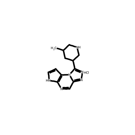 CC1CNCC(c2nnc3cnc4[nH]ccc4n23)C1.Cl